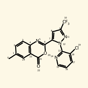 Cc1ccc2nc(-c3cc(C(F)(F)F)nn3-c3ncccc3Cl)oc(=O)c2c1